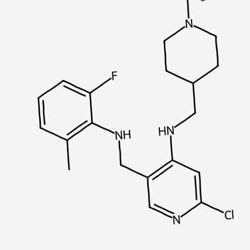 Cc1cccc(F)c1NCc1cnc(Cl)cc1NCC1CCN(C(=O)O)CC1